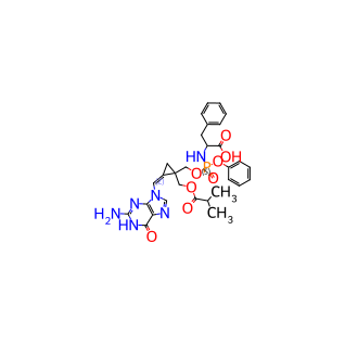 CC(C)C(=O)OCC1(CO[P@@](=O)(NC(Cc2ccccc2)C(=O)O)Oc2ccccc2)C/C1=C/n1cnc2c(=O)[nH]c(N)nc21